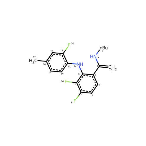 C=C(NCCCC)c1ccc(F)c(F)c1Nc1ccc(C)cc1F